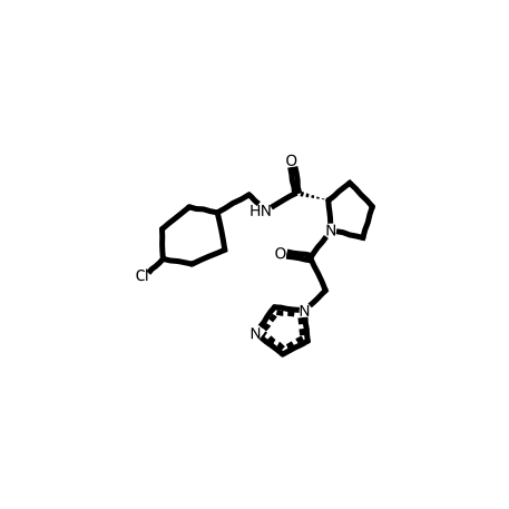 O=C(NCC1CCC(Cl)CC1)[C@@H]1CCCN1C(=O)Cn1ccnc1